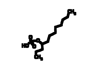 CCCCCCCCC(CCC)OS(=O)(=O)O